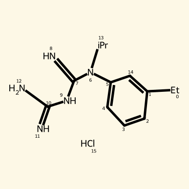 CCc1cccc(N(C(=N)NC(=N)N)C(C)C)c1.Cl